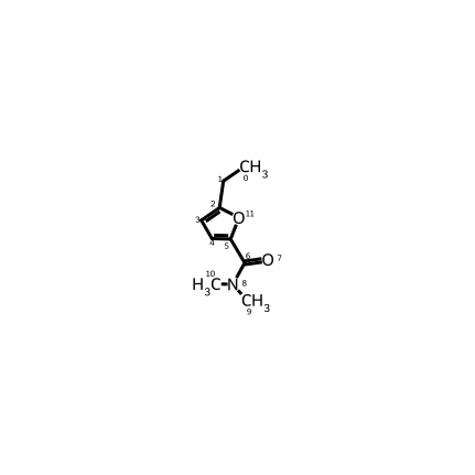 CCc1ccc(C(=O)N(C)C)o1